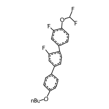 CCCCOc1ccc(-c2ccc(-c3ccc(OC(F)F)c(F)c3)c(F)c2)cc1